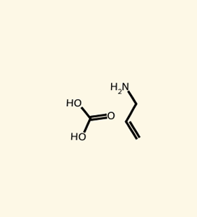 C=CCN.O=C(O)O